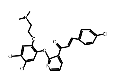 CN(C)CCOc1cc(Cl)c(Cl)cc1Oc1ncccc1C(=O)C=Cc1ccc(Cl)cc1